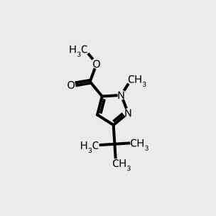 COC(=O)c1cc(C(C)(C)C)nn1C